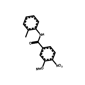 COc1cc(C(=O)Nc2ccccc2C)ccc1[N+](=O)[O-]